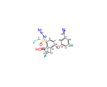 N#CN=S(=O)(CF)c1ccc(Oc2cc(F)cc(C#N)c2)c2c1[C@H](O)[C@H](F)C2